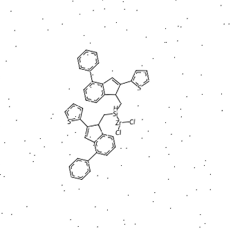 [Cl][Zr]([Cl])[SiH](CC1C(c2cccs2)=Cc2c(-c3ccccc3)cccc21)CC1C(c2cccs2)=Cc2c(-c3ccccc3)cccc21